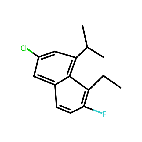 CCc1c(F)ccc2cc(Cl)cc(C(C)C)c12